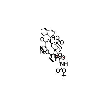 COc1cccc(OC)c1C12CC3CC(C1NC(=O)CNC(=O)OC(C)(C)C)C(C(=O)O)C(N(C(=O)C1=CCN=N1)C1=CC=CC4=CCCCC41)(C3)C2